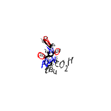 CC(C)(C)c1cc2n(CC(=O)O)c3c(c(=O)n2n1)CN(C1COC1)C3=O